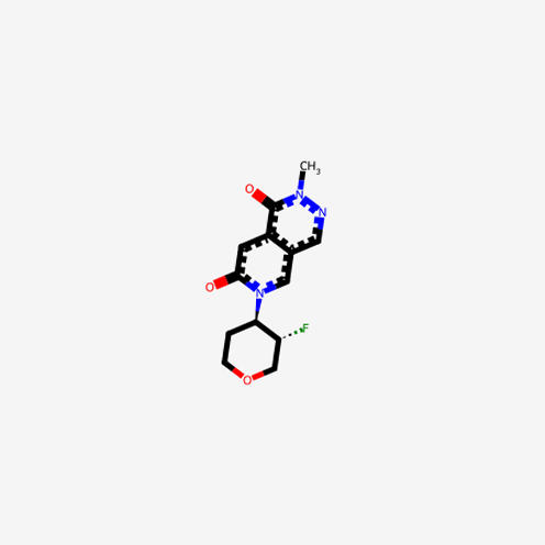 Cn1ncc2cn([C@@H]3CCOC[C@H]3F)c(=O)cc2c1=O